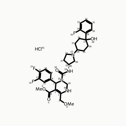 COCC1=C(C(=O)OC)C(c2ccc(F)c(F)c2)N(C(=O)N[C@@H]2CCN(C3CCC(O)(c4ccccc4F)CC3)C2)CN1.Cl